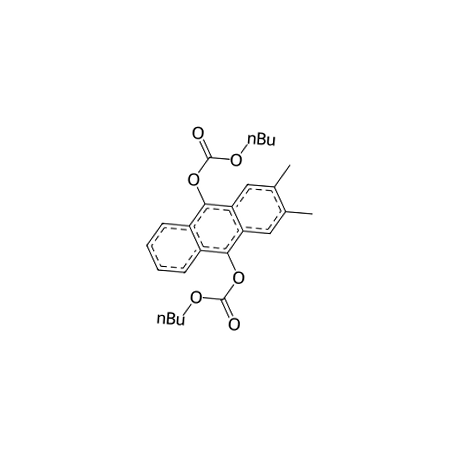 CCCCOC(=O)Oc1c2ccccc2c(OC(=O)OCCCC)c2cc(C)c(C)cc12